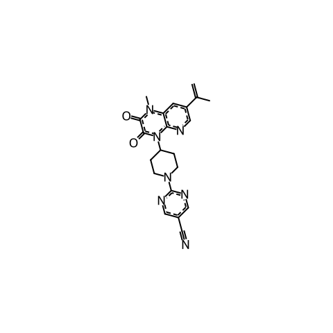 C=C(C)c1cnc2c(c1)n(C)c(=O)c(=O)n2C1CCN(c2ncc(C#N)cn2)CC1